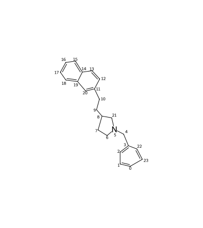 c1ccc(CN2CCC(CCc3ccc4ccccc4c3)C2)cc1